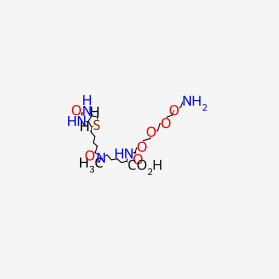 CN(CCCC[C@H](NC(=O)COCCOCCOCCOCCN)C(=O)O)C(=O)CCCC[C@@H]1SC[C@@H]2NC(=O)N[C@@H]21